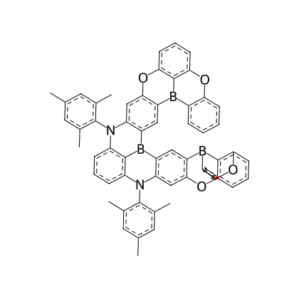 Cc1cc(C)c(N2c3cc4c(cc3B3c5cc6c(cc5N(c5c(C)cc(C)cc5C)c5cccc2c53)Oc2cccc3c2B6c2ccccc2O3)B2c3ccccc3Oc3cccc(c32)O4)c(C)c1